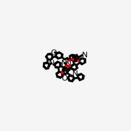 N#Cc1ccc(-c2cc(-c3ccc4oc5ccc6c7ccccc7n(-c7ccc8c9ccccc9c9ccccc9c8c7)c6c5c4c3)nc(-c3ccc4oc5ccc6c7ccccc7n(-c7ccc8c9ccccc9c9ccccc9c8c7)c6c5c4c3)n2)cc1